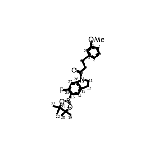 COc1cccc(CCC(=O)N2CCc3cc(B4OC(C)(C)C(C)(C)O4)c(F)cc32)c1